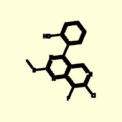 CSc1nc(-c2ccccc2O)c2cnc(Cl)c(F)c2n1